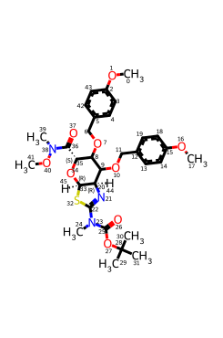 COc1ccc(COC2C(OCc3ccc(OC)cc3)[C@H]3N=C(N(C)C(=O)OC(C)(C)C)S[C@H]3O[C@@H]2C(=O)N(C)OC)cc1